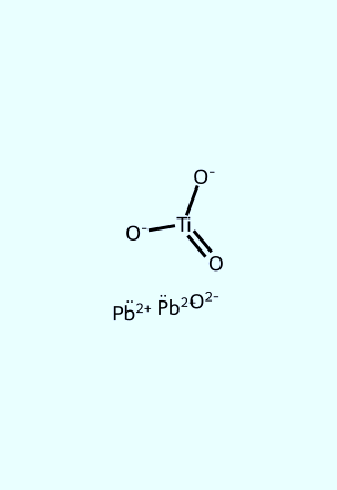 [O-2].[O]=[Ti]([O-])[O-].[Pb+2].[Pb+2]